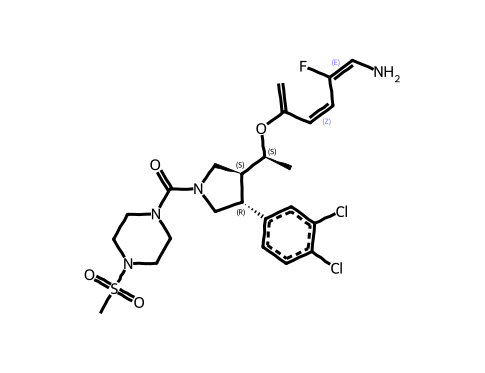 C=C(/C=C\C(F)=C/N)O[C@@H](C)[C@@H]1CN(C(=O)N2CCN(S(C)(=O)=O)CC2)C[C@H]1c1ccc(Cl)c(Cl)c1